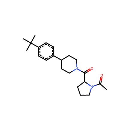 CC(=O)N1CCCC1C(=O)N1CCC(c2ccc(C(C)(C)C)cc2)CC1